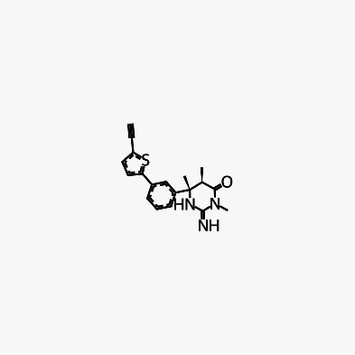 C#Cc1ccc(-c2cccc([C@@]3(C)NC(=N)N(C)C(=O)[C@@H]3C)c2)s1